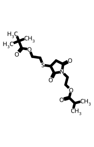 CC(C)C(=O)OCCN1C(=O)CC(SCCOC(=O)C(C)(C)C)C1=O